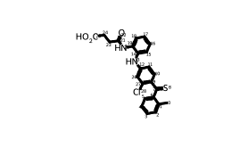 Cc1ccccc1C(=S)c1ccc(Nc2ccccc2NC(=O)CCC(=O)O)cc1Cl